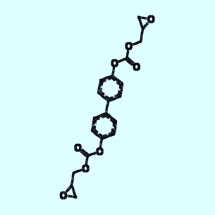 O=C(OCC1CO1)Oc1ccc(-c2ccc(OC(=O)OCC3CO3)cc2)cc1